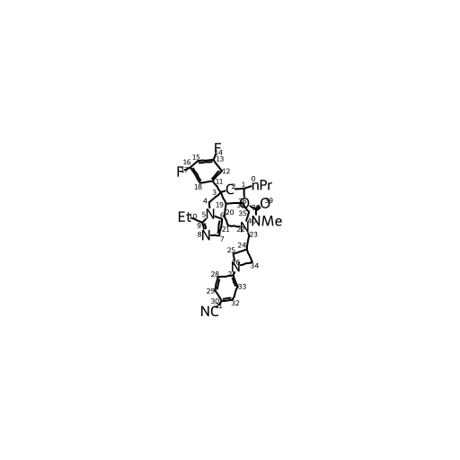 CCCC(CC(Cn1ccnc1CC)(c1cc(F)cc(F)c1)C1CCN(CC2CN(c3ccc(C#N)cc3)C2)CC1)OC(=O)NC